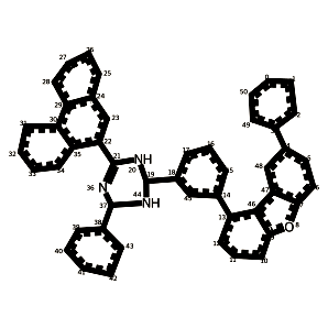 c1ccc(-c2ccc3oc4cccc(-c5cccc(C6NC(c7cc8ccccc8c8ccccc78)=NC(c7ccccc7)N6)c5)c4c3c2)cc1